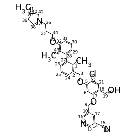 Cc1c(COc2cc(OCc3cncc(C#N)c3)c(CO)cc2Cl)cccc1-c1cccc(OCCCN2CC[C@@H](C)C2)c1C